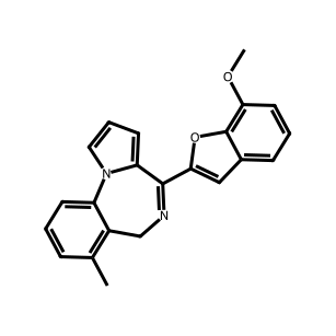 COc1cccc2cc(C3=NCc4c(C)cccc4-n4cccc43)oc12